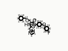 O=C(Cn1nccn1)N[C@@H](COCc1ccccc1)C(=O)Nc1ccc(Oc2ccc(F)cc2)cc1